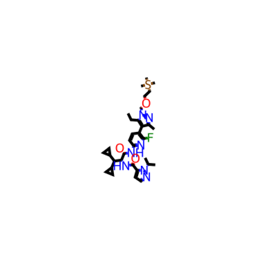 CCc1c(-c2ccc(NC(=O)C(NC(=O)c3ccnn3C(C)C)C(C3CC3)C3CC3)nc2F)c(C)nn1COCCS(C)(C)C